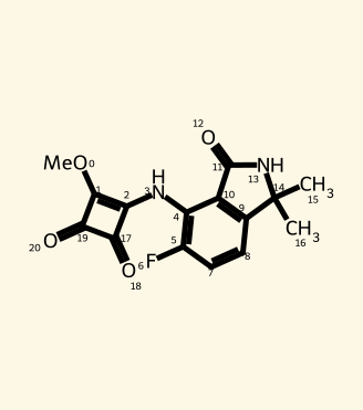 COc1c(Nc2c(F)ccc3c2C(=O)NC3(C)C)c(=O)c1=O